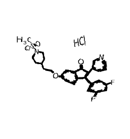 CS(=O)(=O)N1CCC(CCOc2ccc3c(c2)C(=O)C(c2cccnc2)=C3c2cc(F)cc(F)c2)CC1.Cl